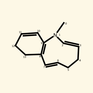 CN1/C=C/CC/C=C/C2=C1C=CCC2